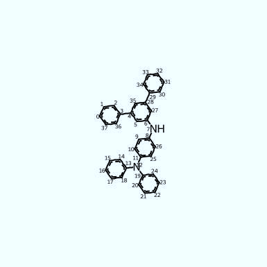 c1ccc(-c2cc(Nc3ccc(N(c4ccccc4)c4ccccc4)cc3)cc(-c3ccccc3)c2)cc1